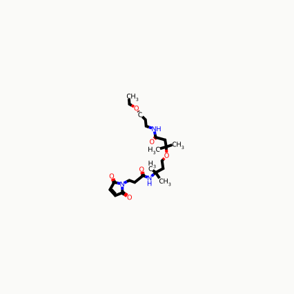 CCOCCCNC(=O)CC(C)(C)OCCC(C)(C)NC(=O)CCN1C(=O)C=CC1=O